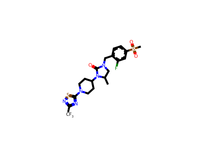 CC1CN(Cc2ccc(S(C)(=O)=O)cc2F)C(=O)N1C1CCN(c2nc(C(F)(F)F)ns2)CC1